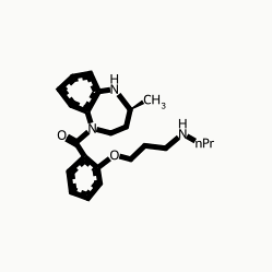 CCCNCCCOc1ccccc1C(=O)N1CC[C@H](C)Nc2ccccc21